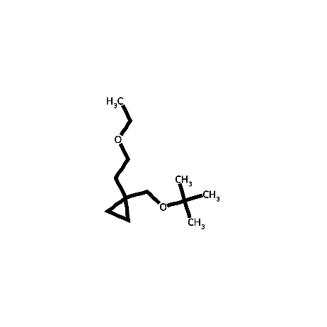 CCOCCC1(COC(C)(C)C)CC1